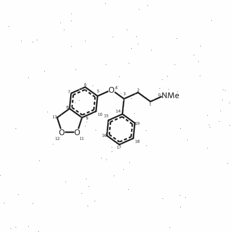 CNCCC(Oc1ccc2c(c1)OOC2)c1ccccc1